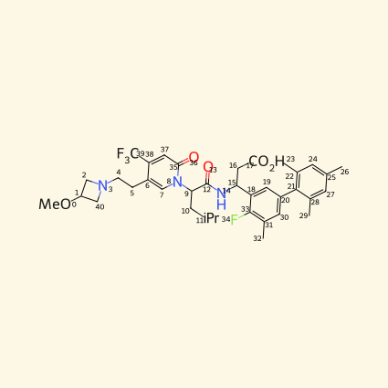 COC1CN(CCc2cn(C(CC(C)C)C(=O)NC(CC(=O)O)c3cc(-c4c(C)cc(C)cc4C)cc(C)c3F)c(=O)cc2C(F)(F)F)C1